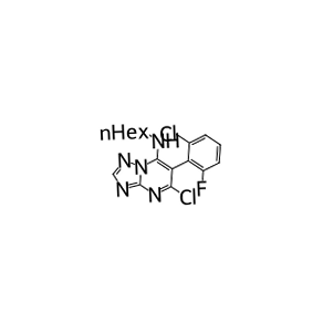 CCCCCCNc1c(-c2c(F)cccc2Cl)c(Cl)nc2ncnn12